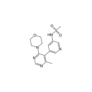 Cc1ncnc(N2CCOCC2)c1-c1cncc(NS(C)(=O)=O)c1